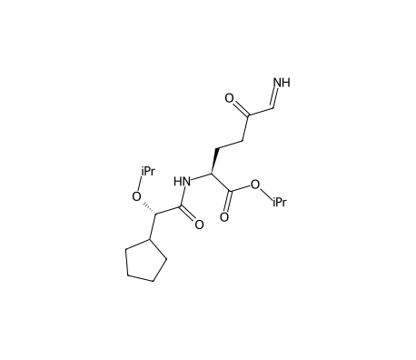 CC(C)OC(=O)[C@H](CCC(=O)C=N)NC(=O)[C@@H](OC(C)C)C1CCCC1